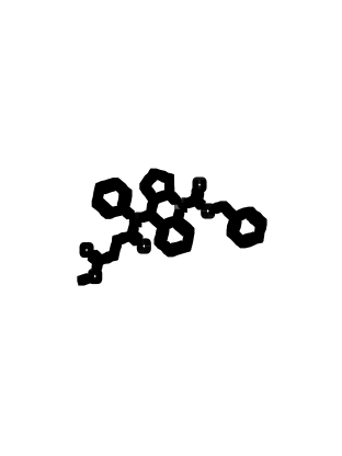 COC(=O)CCC(=O)N(c1ccccc1)C1c2ccccc2N(C(=O)OCc2ccccc2)C2CCCC21